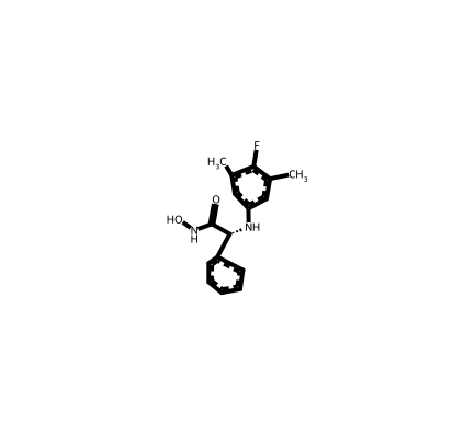 Cc1cc(N[C@@H](C(=O)NO)c2ccccc2)cc(C)c1F